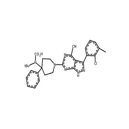 Cc1cccc(-c2n[nH]c3nc(N4CCC(c5ccccc5)(N(C(=O)O)C(C)(C)C)CC4)nc(C#N)c23)c1Cl